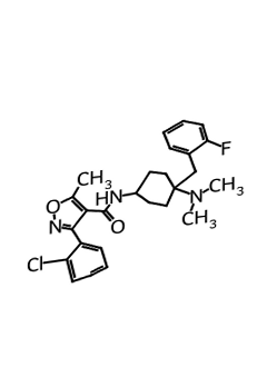 Cc1onc(-c2ccccc2Cl)c1C(=O)NC1CCC(Cc2ccccc2F)(N(C)C)CC1